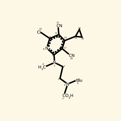 CN(CCN(C(=O)O)C(C)(C)C)c1nc(Cl)c(C#N)c(C2CC2)c1C#N